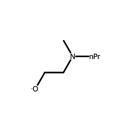 CCCN(C)CC[O]